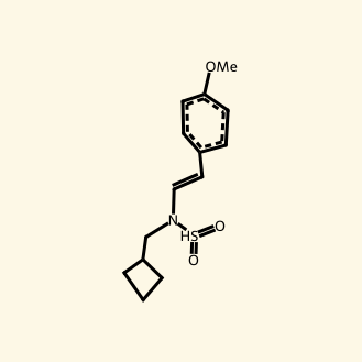 COc1ccc(C=CN(CC2CCC2)[SH](=O)=O)cc1